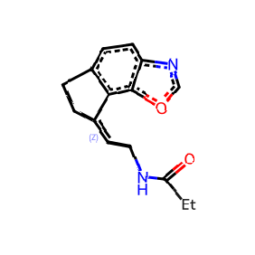 CCC(=O)NC/C=C1/CCc2ccc3ncoc3c21